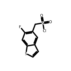 O=S(=O)(Cl)Cc1cc2ccsc2cc1F